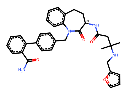 CC(C)(CC(=O)N[C@@H]1CCc2ccccc2N(Cc2ccc(-c3ccccc3C(N)=O)cc2)C1=O)NCc1ccco1